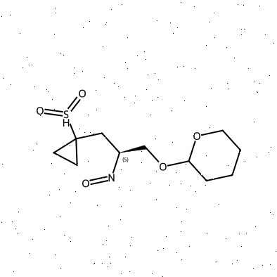 O=N[C@H](COC1CCCCO1)CC1([SH](=O)=O)CC1